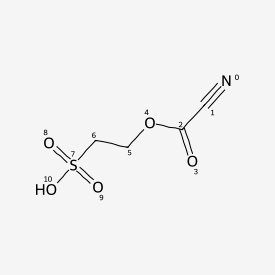 N#CC(=O)OCCS(=O)(=O)O